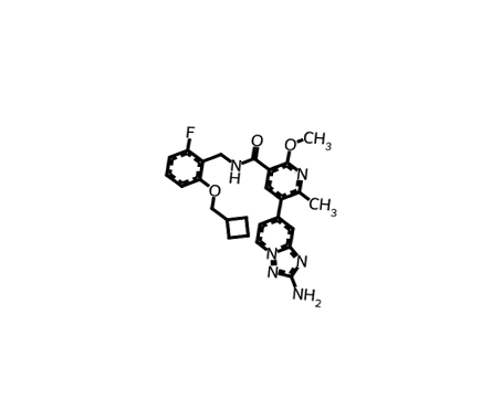 COc1nc(C)c(-c2ccn3nc(N)nc3c2)cc1C(=O)NCc1c(F)cccc1OCC1CCC1